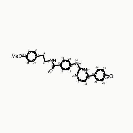 COc1ccc(CCNC(=O)c2ccc(Nc3nccc(-c4ccc(Cl)cc4)n3)cc2)cc1